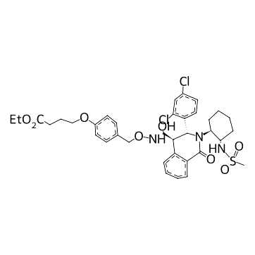 CCOC(=O)CCCOc1ccc(CONC(O)[C@@H]2c3ccccc3C(=O)N([C@H]3CCCC[C@@H]3NS(C)(=O)=O)[C@H]2c2ccc(Cl)cc2Cl)cc1